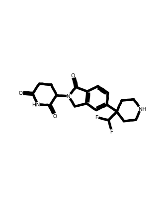 O=C1CCC(N2Cc3cc(C4(C(F)F)CCNCC4)ccc3C2=O)C(=O)N1